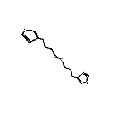 c1cc(CCCSSCCCc2ccsc2)cs1